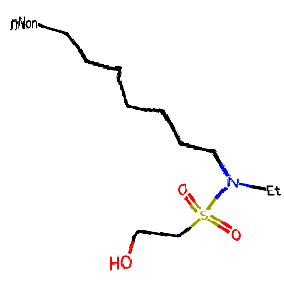 CCCCCCCCCCCCCCCCN(CC)S(=O)(=O)CCO